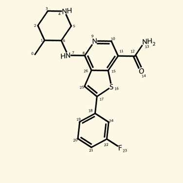 CC1CCNCC1Nc1ncc(C(N)=O)c2sc(-c3cccc(F)c3)cc12